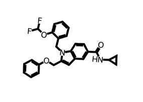 O=C(NC1CC1)c1ccc2c(c1)cc(COc1ccccc1)n2Cc1ccccc1OC(F)F